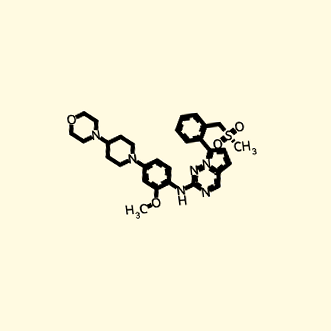 COc1cc(N2CCC(N3CCOCC3)CC2)ccc1Nc1ncc2ccc(-c3ccccc3CS(C)(=O)=O)n2n1